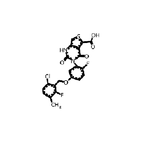 Cc1ccc(Cl)c(COc2ccc(F)c(-n3c(=O)[nH]c4csc(C(=O)O)c4c3=O)c2)c1F